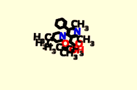 Cc1nc(C)c([C@H](OC(C)(C)C)C(=O)O)c(N2CCC(C)(C)CC2)c1C1=CCCCC1